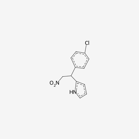 O=[N+]([O-])CC(c1ccc(Cl)cc1)c1ccc[nH]1